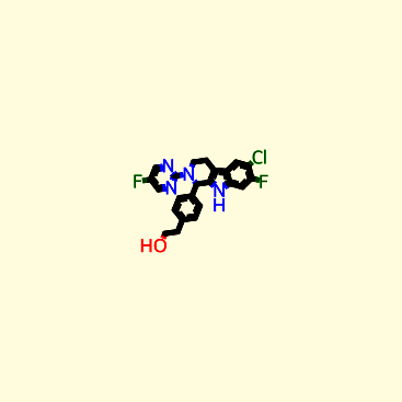 OCCc1ccc(C2c3[nH]c4cc(F)c(Cl)cc4c3CCN2c2ncc(F)cn2)cc1